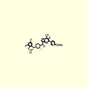 COc1ccc(-c2nc3c(C(=O)N4CCN([C@H](CO)c5cc(F)cc(F)c5F)C[C@H]4C)cnn3c(C(F)(F)F)c2C)cc1